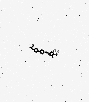 CCC(C)CC1CCC(c2ccc(C#Cc3cc(C)c(N=C=S)c(Cl)c3)cc2)CC1